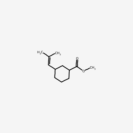 COC(=O)C1CCCC(C=C(C)C)C1